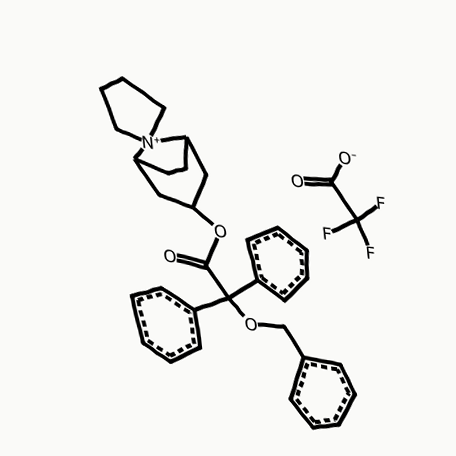 O=C(OC1CC2CCC(C1)[N+]21CCCC1)C(OCc1ccccc1)(c1ccccc1)c1ccccc1.O=C([O-])C(F)(F)F